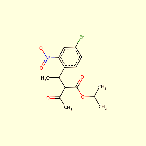 CC(=O)C(C(=O)OC(C)C)C(C)c1ccc(Br)cc1[N+](=O)[O-]